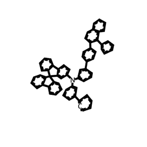 c1ccc(-c2cccc(N(c3cccc(-c4ccc(-c5ccc6ccccc6c5-c5ccccc5)cc4)c3)c3ccc4c(c3)C3(c5ccccc5-c5ccccc53)c3ccccc3-4)c2)cc1